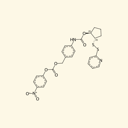 O=C(Nc1ccc(COC(=O)Oc2ccc([N+](=O)[O-])cc2)cc1)O[C@H]1CCC[C@@H]1SSc1ccccn1